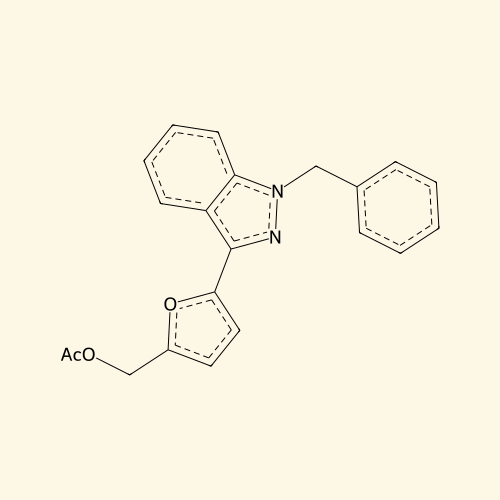 CC(=O)OCc1ccc(-c2nn(Cc3ccccc3)c3ccccc23)o1